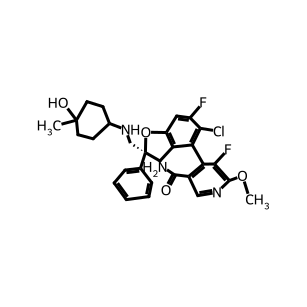 COc1ncc(C(N)=O)c(-c2c(Cl)c(F)cc3c2C[C@@](CNC2CCC(C)(O)CC2)(c2ccccc2)O3)c1F